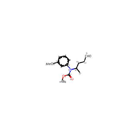 COc1cccc(N(C(=O)OC(C)(C)C)C(C)CCC=O)c1